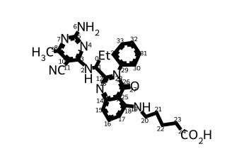 CCC(Nc1nc(N)nc(C)c1C#N)c1nc2cccc(NCCCCC(=O)O)c2c(=O)n1-c1ccccc1